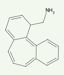 NCC1C=CC=C2C=CC=c3ccccc3=C21